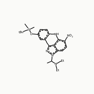 CCN(CC)C(C)n1nc2c3c(c([N+](=O)[O-])ccc31)Nc1ccc(O[Si](C)(C)C(C)(C)C)cc1-2